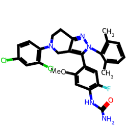 COc1cc(NC(N)=O)c(F)cc1-c1c2c(nn1-c1c(C)cccc1C)CCN(c1ccc(Cl)cc1Cl)C2